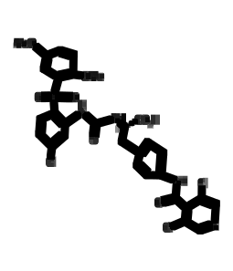 COc1ccc(OC)c(S(=O)(=O)c2ccc(Cl)cc2NC(=O)N[C@@H](Cc2ccc(NC(=O)c3c(Cl)cncc3Cl)cc2)C(=O)O)c1